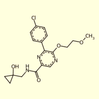 COCCOc1ncc(C(=O)NCC2(O)CC2)nc1-c1ccc(Cl)cc1